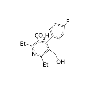 CCc1nc(CC)c(C(=O)O)c(-c2ccc(F)cc2)c1CO